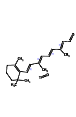 CC1=C(/C=C/C(C)=C/C=C/C(C)=C/C=O)C(C)(C)CCC1.[O]=[Ti]